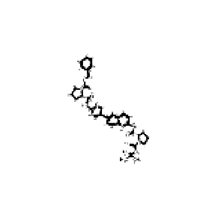 CC(C)(C)OC(=O)N1CCC[C@H]1C(=O)Nc1ccc2cc(-c3cnc(NC(=O)[C@@H]4CCCN4C(=O)OCc4ccccc4)nc3)ccc2n1